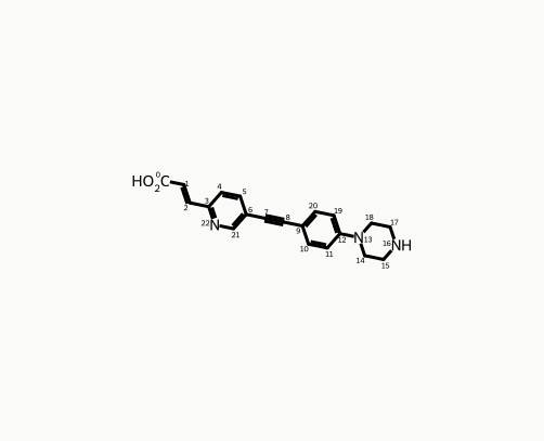 O=C(O)C=Cc1ccc(C#Cc2ccc(N3CCNCC3)cc2)cn1